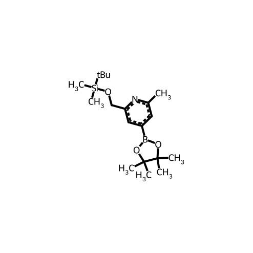 Cc1cc(B2OC(C)(C)C(C)(C)O2)cc(CO[Si](C)(C)C(C)(C)C)n1